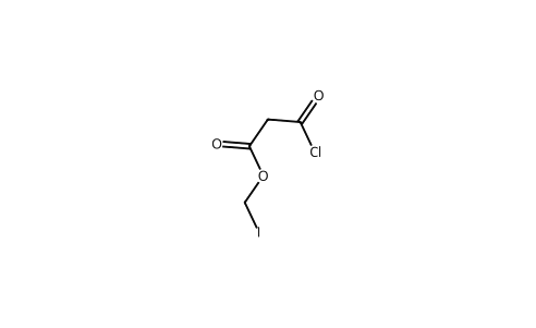 O=C(Cl)CC(=O)OCI